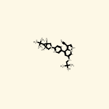 CC(C)(O)COc1cc(-c2ccc(N3C[C@@H]4C(C(C)(C)N)[C@@H]4C3)nc2)c2c(C#N)cnn2c1